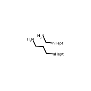 CCCCCCCCCCN.CCCCCCCCN